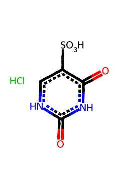 Cl.O=c1[nH]cc(S(=O)(=O)O)c(=O)[nH]1